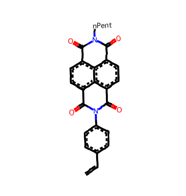 C=Cc1ccc(N2C(=O)c3ccc4c5c(ccc(c35)C2=O)C(=O)N(CCCCC)C4=O)cc1